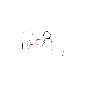 COCCOC(=O)N1C2CCC1CC(N1CCC3(CC1)CN(C(=O)OC1CCC1)Cc1ccccc13)C2